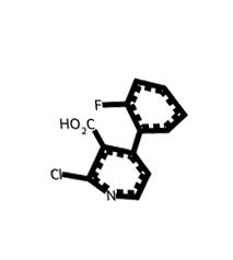 O=C(O)c1c(-c2ccccc2F)ccnc1Cl